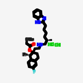 COCC(=O)O[C@]1(CCNC[C@@H](C)CCCCc2nc3ccccc3[nH]2)CCc2cc(F)ccc2[C@@H]1C(C)C.Cl.Cl